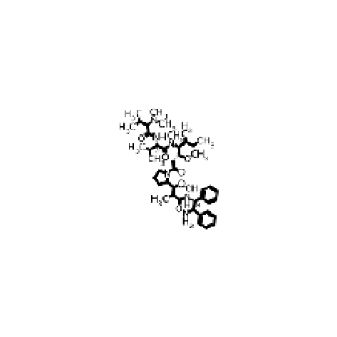 CCC(C)C([C@@H](CC(=O)N1CCCC1C(OC)C(C)C(=O)N[C@@H](c1ccccc1)C(N)c1ccccc1)OC)N(C)C(=O)[C@@H](NC(=O)C(C(C)C)N(C)C)C(C)C